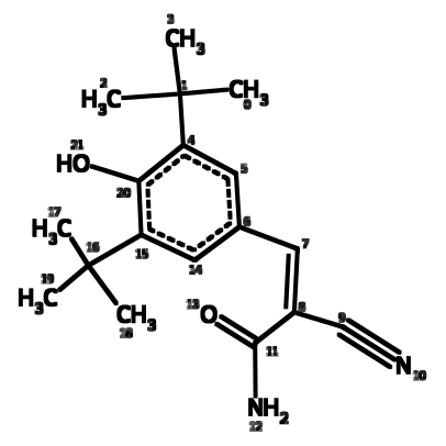 CC(C)(C)c1cc(C=C(C#N)C(N)=O)cc(C(C)(C)C)c1O